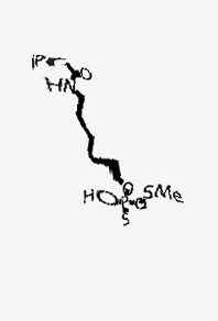 CSOP(O)(=S)OCCCCCCNC(=O)C(C)C